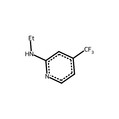 [CH2]CNc1cc(C(F)(F)F)ccn1